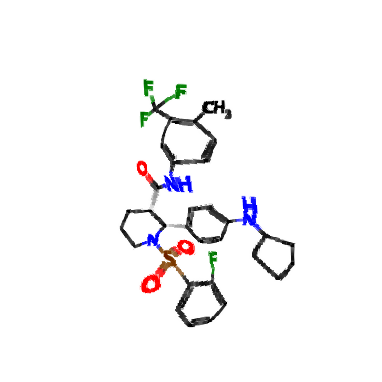 Cc1ccc(NC(=O)[C@H]2CCCN(S(=O)(=O)c3ccccc3F)[C@H]2c2ccc(NC3CCCC3)cc2)cc1C(F)(F)F